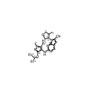 Bc1c(Nc2ncc3cc(C#N)n([C@H]4COCC4C)c3n2)c(OC(CC)CC)nn1C